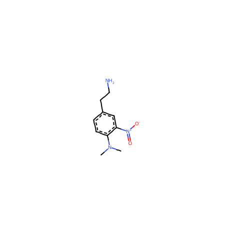 CN(C)c1ccc(CCN)cc1[N+](=O)[O-]